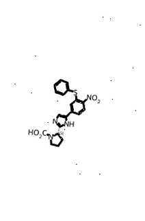 O=C(O)N1CCC[C@H]1c1ncc(-c2ccc([N+](=O)[O-])c(Sc3ccccc3)c2)[nH]1